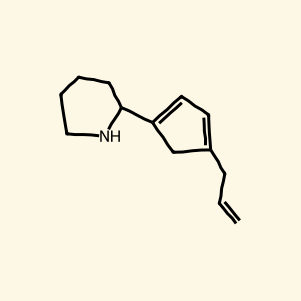 C=CCC1=CC=C(C2CCCCN2)C1